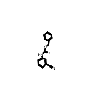 N#Cc1cccc(NC(=O)OCc2ccccc2)c1